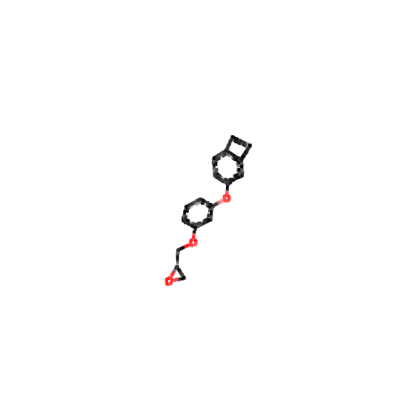 C1=Cc2cc(Oc3cccc(OCC4CO4)c3)ccc21